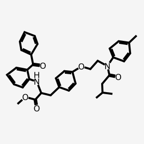 COC(=O)C(Cc1ccc(OCCN(C(=O)CC(C)C)c2ccc(C)cc2)cc1)Nc1ccccc1C(=O)c1ccccc1